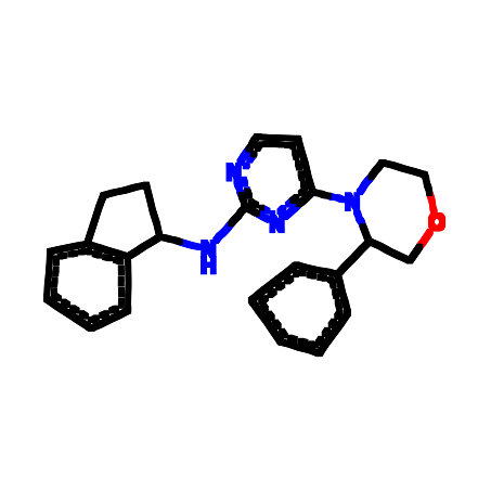 c1ccc(C2COCCN2c2ccnc(NC3CCc4ccccc43)n2)cc1